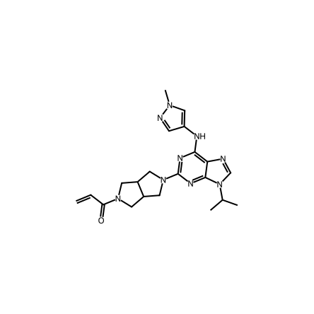 C=CC(=O)N1CC2CN(c3nc(Nc4cnn(C)c4)c4ncn(C(C)C)c4n3)CC2C1